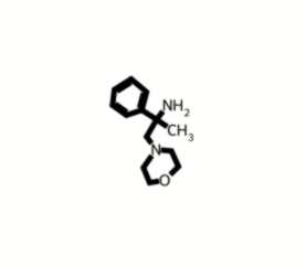 CC(N)(CN1CCOCC1)c1ccccc1